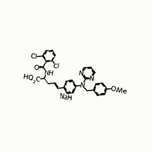 COc1ccc(CN(c2ccc(C=CCC(NC(=O)c3c(Cl)cccc3Cl)C(=O)O)cc2)c2ncccn2)cc1.[NaH]